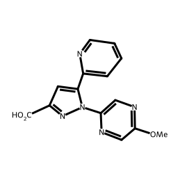 COc1cnc(-n2nc(C(=O)O)cc2-c2ccccn2)cn1